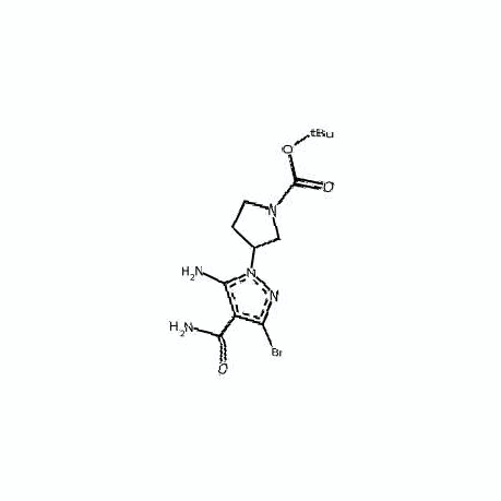 CC(C)(C)OC(=O)N1CCC(n2nc(Br)c(C(N)=O)c2N)C1